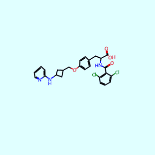 O=C(NC(Cc1ccc(OCC2CC(Nc3ccccn3)C2)cc1)C(=O)O)c1c(Cl)cccc1Cl